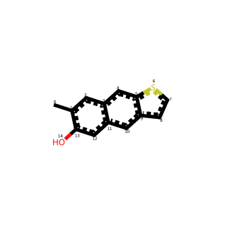 Cc1cc2cc3sccc3cc2cc1O